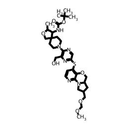 COCOCC1CC2COc3c(Sc4cnc(N5CCC6(CC5)COC(C)C6NC(=O)OC(C)(C)C)c(CO)n4)ccnc3N2C1